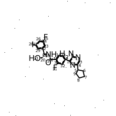 Nc1ncc(C2CCCC2)nc1-c1ccc(C(=O)N[C@H](CO)c2cc(F)cc(I)c2)c(F)c1